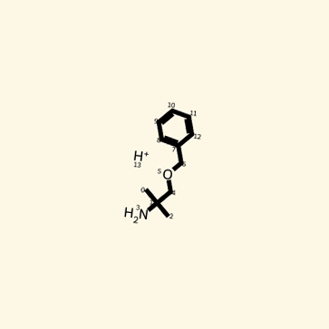 CC(C)(N)COCc1ccccc1.[H+]